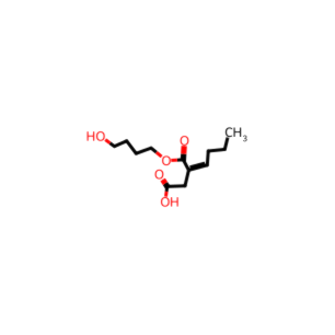 CCCC=C(CC(=O)O)C(=O)OCCCCO